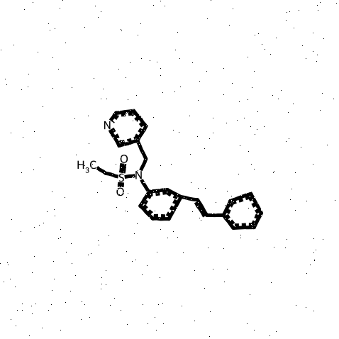 CCS(=O)(=O)N(Cc1cccnc1)c1cccc(C=Cc2ccccc2)c1